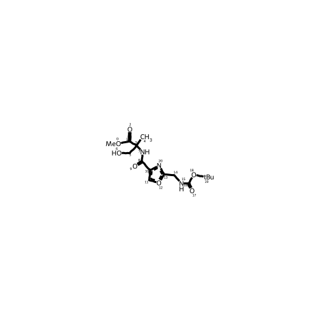 COC(=O)C(C)(CO)NC(=O)c1coc(CNC(=O)OC(C)(C)C)n1